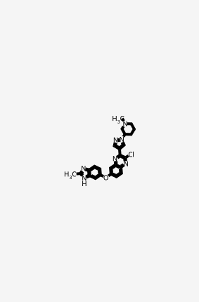 Cc1nc2ccc(Oc3ccc4nc(Cl)c(-c5cnn(C6CCCN(C)C6)c5)nc4c3)cc2[nH]1